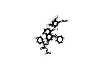 COc1cc(Nc2ncnc3cc(OC(C(=O)OC(C)(C)C)C4CCNCC4)cc(OC4CCOCC4)c23)c(Cl)cc1Cl